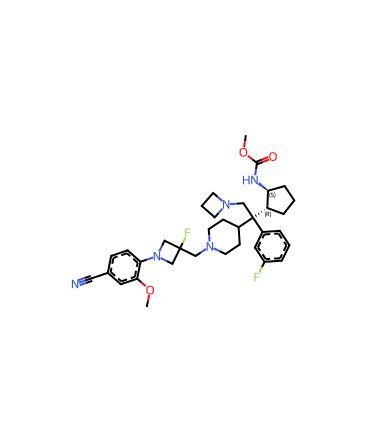 COC(=O)N[C@H]1CCC[C@@H]1C(CN1CCC1)(c1cccc(F)c1)C1CCN(CC2(F)CN(c3ccc(C#N)cc3OC)C2)CC1